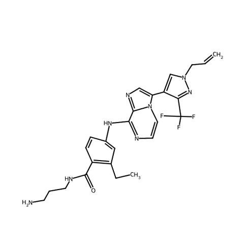 C=CCn1cc(-c2cnc3c(Nc4ccc(C(=O)NCCCN)c(CC)c4)nccn23)c(C(F)(F)F)n1